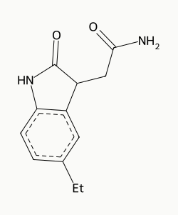 CCc1ccc2c(c1)C(CC(N)=O)C(=O)N2